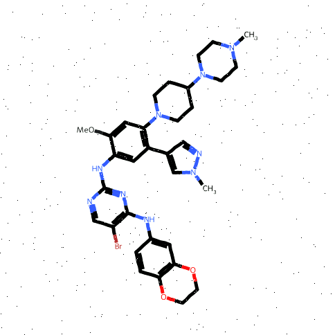 COc1cc(N2CCC(N3CCN(C)CC3)CC2)c(-c2cnn(C)c2)cc1Nc1ncc(Br)c(Nc2ccc3c(c2)OCCO3)n1